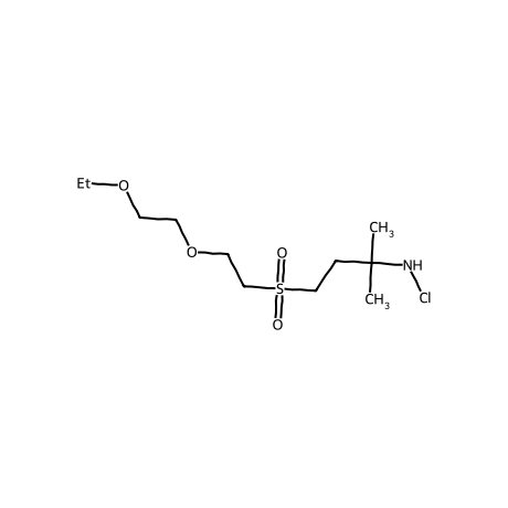 CCOCCOCCS(=O)(=O)CCC(C)(C)NCl